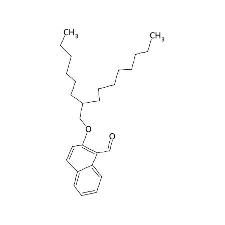 CCCCCCCCC(CCCCCC)COc1ccc2ccccc2c1C=O